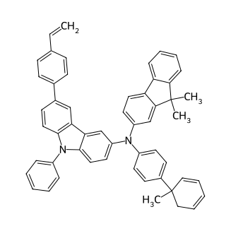 C=Cc1ccc(-c2ccc3c(c2)c2cc(N(c4ccc(C5(C)C=CC=CC5)cc4)c4ccc5c(c4)C(C)(C)c4ccccc4-5)ccc2n3-c2ccccc2)cc1